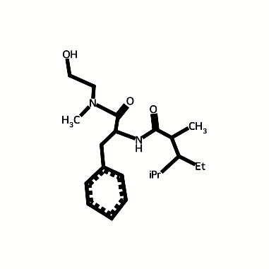 CCC(C(C)C)C(C)C(=O)NC(Cc1ccccc1)C(=O)N(C)CCO